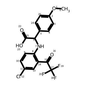 COc1ccc(C(Nc2ccc(Cl)cc2C(=O)C(F)(F)F)C(=O)O)cc1